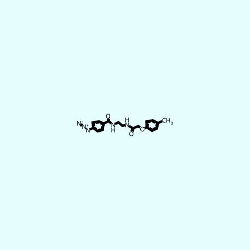 Cc1ccc(OCC(=O)NCCNC(=O)c2ccc(N=[N+]=[N-])cc2)cc1